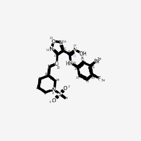 CS(=O)(=O)N1CCCC(COc2nonc2/C(=N/O)Nc2ccc(F)c(Br)c2)C1